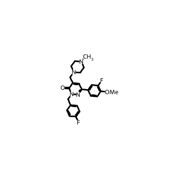 COc1ccc(-c2cc(CN3CCN(C)CC3)c(=O)n(Cc3ccc(F)cc3)n2)cc1F